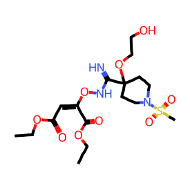 CCOC(=O)C=C(ONC(=N)C1(OCCO)CCN(S(C)(=O)=O)CC1)C(=O)OCC